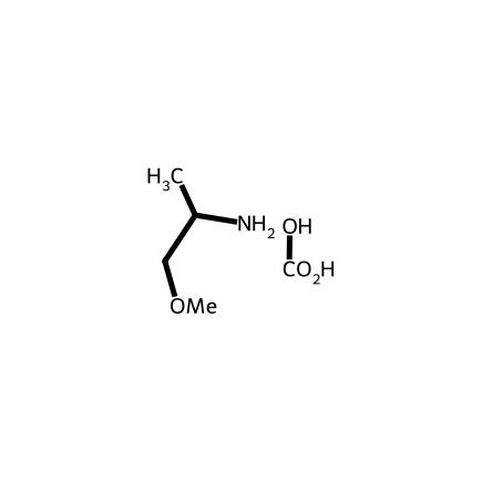 COCC(C)N.O=C(O)O